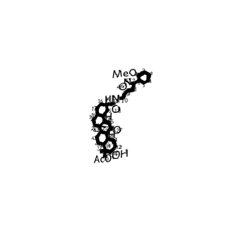 COc1ccccc1-c1cc(CNC(=O)[C@@]2(C)CC[C@]3(C)CC[C@]4(C)C(=CC(=O)[C@@H]5[C@@]6(C)CC[C@@](O)(OC(C)=O)C(C)(C)C6CC[C@]54C)[C@H]3C2)on1